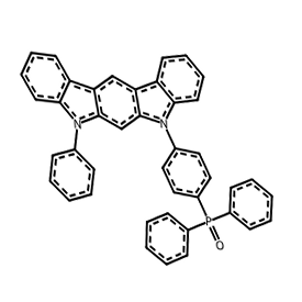 O=P(c1ccccc1)(c1ccccc1)c1ccc(-n2c3ccccc3c3cc4c5ccccc5n(-c5ccccc5)c4cc32)cc1